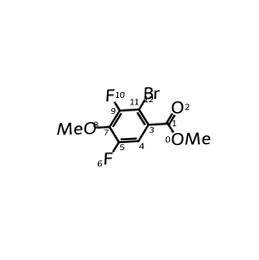 COC(=O)c1cc(F)c(OC)c(F)c1Br